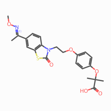 CO/N=C(\C)c1ccc2c(c1)sc(=O)n2CCOc1ccc(OC(C)(C)C(=O)O)cc1